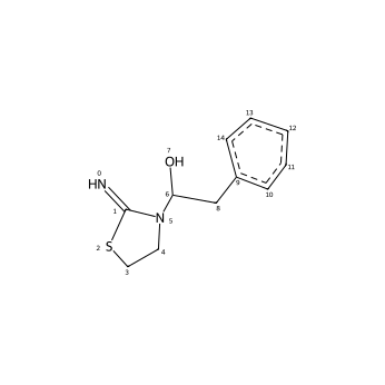 N=C1SCCN1C(O)Cc1ccccc1